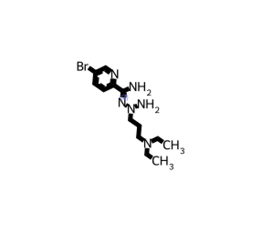 CCN(CC)CCCN(N)/N=C(\N)c1ccc(Br)cn1